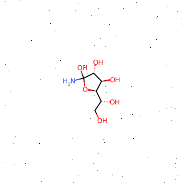 NC1(O)O[C@H]([C@H](O)CO)[C@H](O)[C@H]1O